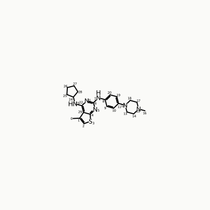 Cc1csc2nc(Nc3ccc(N4CCN(C)CC4)cc3)nc(NC3CCCC3)c12